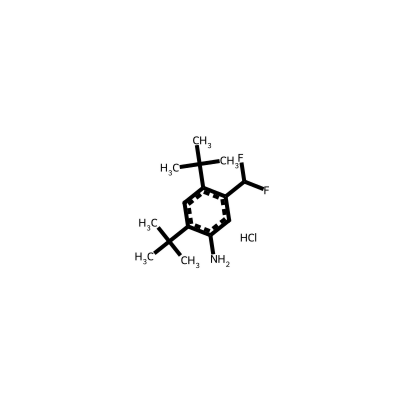 CC(C)(C)c1cc(C(C)(C)C)c(C(F)F)cc1N.Cl